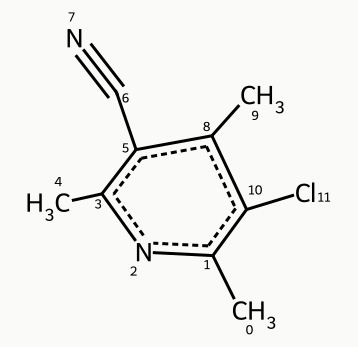 Cc1nc(C)c(C#N)c(C)c1Cl